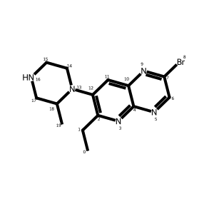 CCc1nc2ncc(Br)nc2cc1N1CCNCC1C